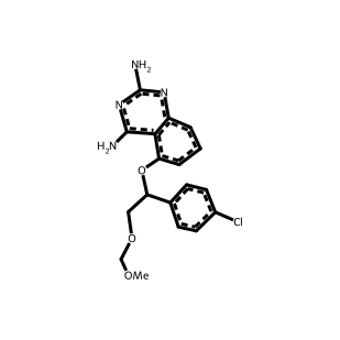 COCOCC(Oc1cccc2nc(N)nc(N)c12)c1ccc(Cl)cc1